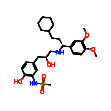 COc1ccc([C@@H](CCC2CCCCC2)NC[C@@H](O)Cc2ccc(O)c(NS(C)(=O)=O)c2)cc1OC